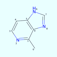 Cc1nccc2[nH]cnc12